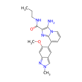 CCCNC(=O)c1nc2c(-c3cc4cn(C)nc4cc3OC)cccn2c1N